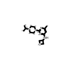 Cc1cc(NC2COC2)nc(N2CCN(C(C)C)CC2)n1